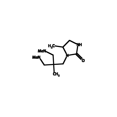 CNCC(C)(CNC)CN1C(=O)NCC1C